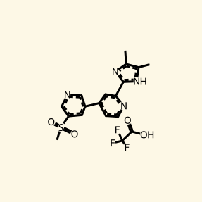 Cc1nc(-c2cc(-c3cncc(S(C)(=O)=O)c3)ccn2)[nH]c1C.O=C(O)C(F)(F)F